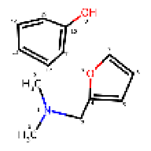 CN(C)Cc1ccco1.Oc1ccccc1